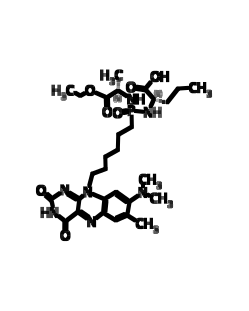 CCC[C@H](NP(=O)(CCCCCCn1c2nc(=O)[nH]c(=O)c-2nc2cc(C)c(N(C)C)cc21)N[C@@H](C)C(=O)OCC)C(=O)O